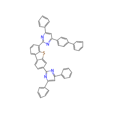 c1ccc(-c2ccc(-c3cc(-c4ccccc4)nc(-c4cccc5c4sc4cc(-c6nc(-c7ccccc7)cc(-c7ccccc7)n6)ccc45)n3)cc2)cc1